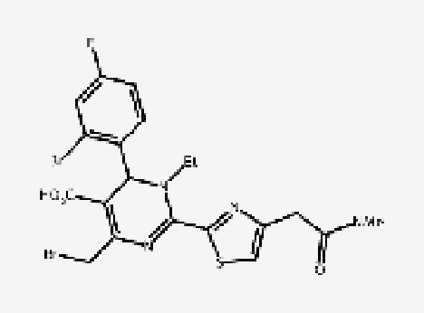 CCN1C(c2nc(CC(=O)NC)cs2)=NC(CBr)=C(C(=O)O)C1c1ccc(F)cc1Br